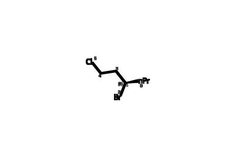 CCC[C@@H](Br)CCCl